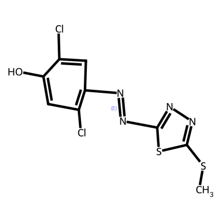 CSc1nnc(/N=N/c2cc(Cl)c(O)cc2Cl)s1